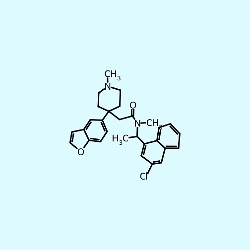 CC(c1cc(Cl)cc2ccccc12)N(C)C(=O)CC1(c2ccc3occc3c2)CCN(C)CC1